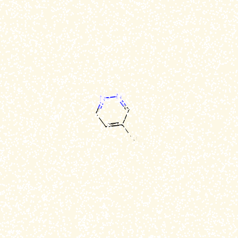 O=[N+]([O-])C1=CC=N[N+]=C1